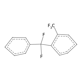 FC(F)(F)c1ccccc1C(F)(F)c1ccccc1